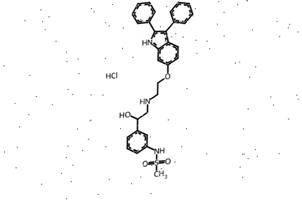 CS(=O)(=O)Nc1cccc(C(O)CNCCOc2ccc3c(-c4ccccc4)c(-c4ccccc4)[nH]c3c2)c1.Cl